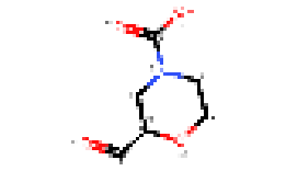 O=C[C@H]1CN(C(=O)O)CCO1